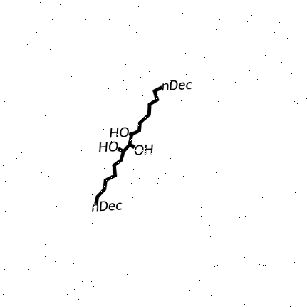 CCCCCCCCCCCCCCCCC(O)C(O)C(O)CCCCCCCCCCCCCCCC